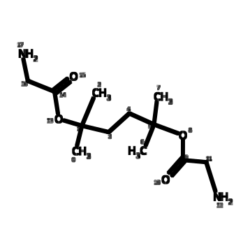 CC(C)(CCC(C)(C)OC(=O)CN)OC(=O)CN